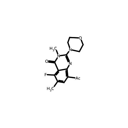 CC(=O)c1cc(C)c(F)c2c(=O)n(C)c(N3CCOCC3)nc12